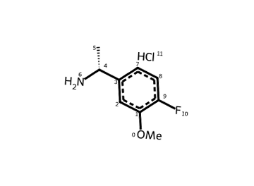 COc1cc([C@@H](C)N)ccc1F.Cl